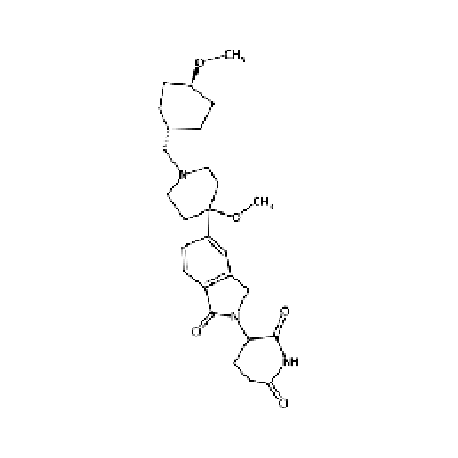 COC1(c2ccc3c(c2)CN(C2CCC(=O)NC2=O)C3=O)CCN(C[C@H]2CC[C@H](OC)CC2)CC1